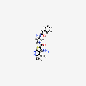 Cc1nnc2sc(C(=O)N3CCC(NC(=O)CC4CCCCC4)C3)c(N)c2c1C